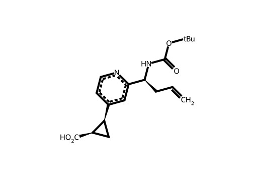 C=CC[C@H](NC(=O)OC(C)(C)C)c1cc([C@H]2C[C@H]2C(=O)O)ccn1